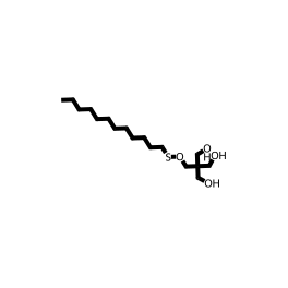 CCCCCCCCCCCCSOCC(CO)(CO)CO